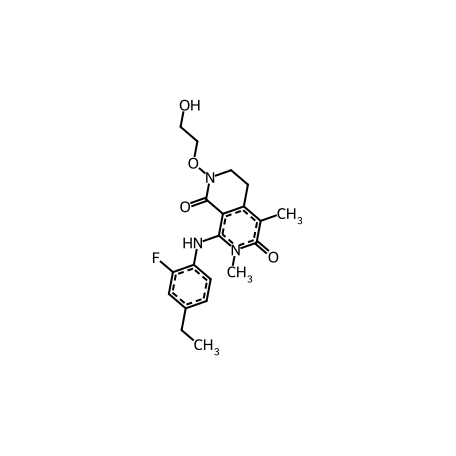 CCc1ccc(Nc2c3c(c(C)c(=O)n2C)CCN(OCCO)C3=O)c(F)c1